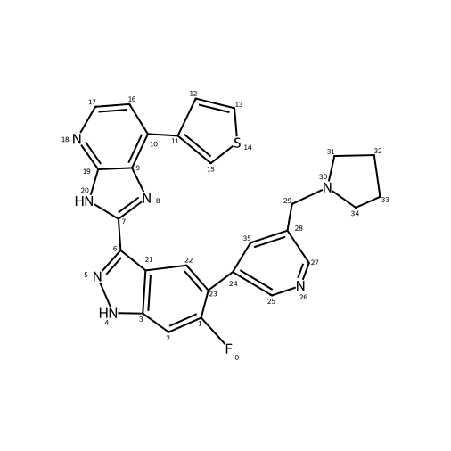 Fc1cc2[nH]nc(-c3nc4c(-c5ccsc5)ccnc4[nH]3)c2cc1-c1cncc(CN2CCCC2)c1